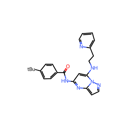 CC(C)(C)c1ccc(C(=O)Nc2cc(NCCc3ccccn3)n3nccc3n2)cc1